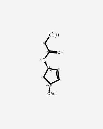 CC(=O)O[C@@H]1C=C[C@H](OC(=O)CC(=O)O)C1